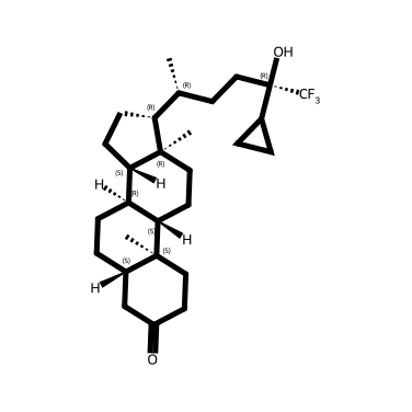 C[C@H](CC[C@@](O)(C1CC1)C(F)(F)F)[C@H]1CC[C@H]2[C@@H]3CC[C@H]4CC(=O)CC[C@]4(C)[C@H]3CC[C@]12C